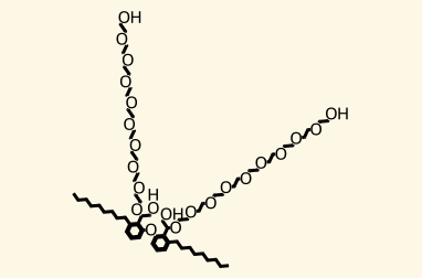 CCCCCCCCCc1cccc(Oc2cccc(CCCCCCCCC)c2C(CO)OCCOCCOCCOCCOCCOCCOCCOCCOCCO)c1C(CO)OCCOCCOCCOCCOCCOCCOCCOCCOCCO